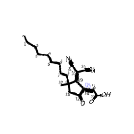 CCCCCCCCCC1(C)CC(=O)/C(=C\C(=O)O)C1=C(C#N)C#N